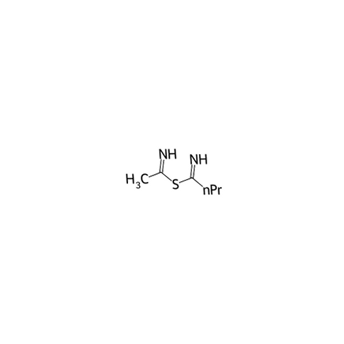 CCCC(=N)SC(C)=N